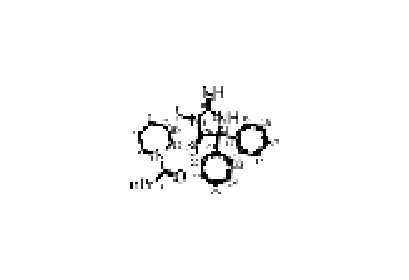 CCCC(=O)N1CCC[C@H](CN2C(=N)NC(c3ccccc3)(c3ccccc3)C2=O)C1